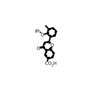 Cc1cccc(-c2cc(=O)c3cc(C(=O)O)ccc3o2)c1OC(C)C